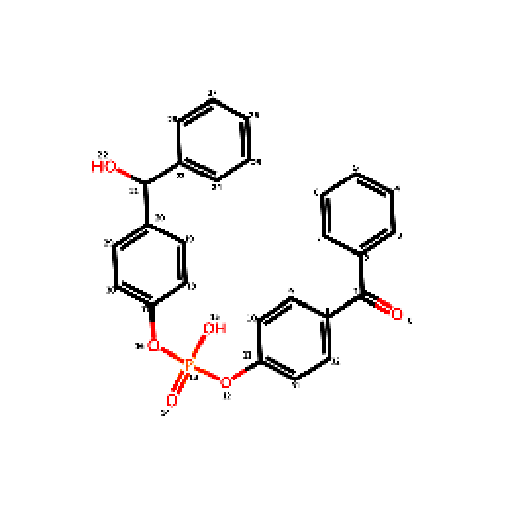 O=C(c1ccccc1)c1ccc(OP(=O)(O)Oc2ccc(C(O)c3ccccc3)cc2)cc1